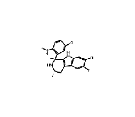 CNc1ccc(Cl)cc1[C@@]1(C)N[C@@H](C)Cc2c1[nH]c1cc(Cl)c(F)cc21